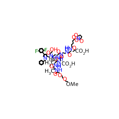 COCCOCCOCC(=O)N[C@@H](C)C(=O)N[C@H](C)C(=O)N[C@@H](CC(=O)O)C(=O)N[C@@H](CCN(C(=O)CO)[C@@H](c1cc(-c2cc(F)ccc2F)cn1Cc1ccccc1)C(C)(C)C)C(=O)NCCNC(=O)[C@@H](CCC(=O)O)NC(=O)CCCC(=O)ON1C(=O)CCC1=O